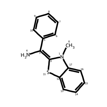 CN1C(=C(N)c2ccccc2)Sc2ccccc21